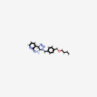 CCCCOCc1ccc(CN2CC(c3cccnc3N)N=N2)cc1